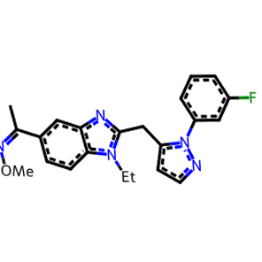 CCn1c(Cc2ccnn2-c2cccc(F)c2)nc2cc(/C(C)=N\OC)ccc21